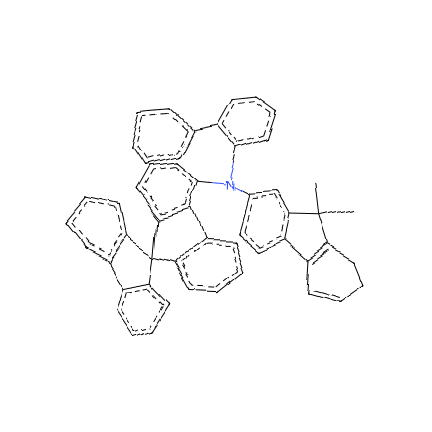 CC1(C)C2=C(C=CCC2)c2ccc(N(c3ccccc3-c3ccccc3)c3cccc4c3-c3ccccc3C43c4ccccc4-c4ccccc43)cc21